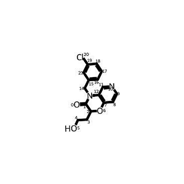 O=C1C(CCO)Oc2ccncc2N1Cc1cccc(Cl)c1